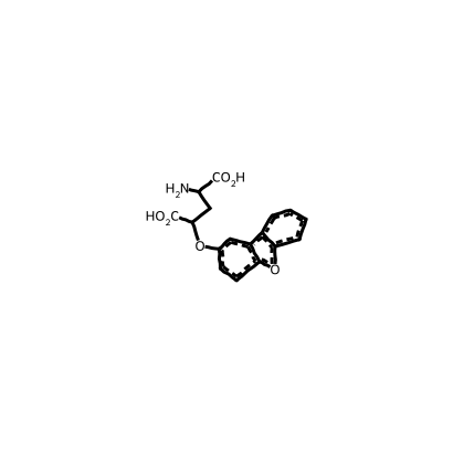 NC(CC(Oc1ccc2oc3ccccc3c2c1)C(=O)O)C(=O)O